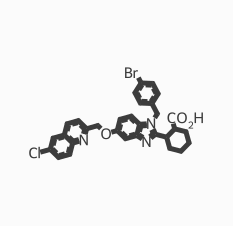 O=C(O)C1CCCCC1c1nc2cc(OCc3ccc4cc(Cl)ccc4n3)ccc2n1Cc1ccc(Br)cc1